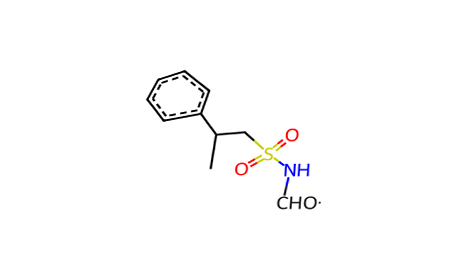 CC(CS(=O)(=O)N[C]=O)c1ccccc1